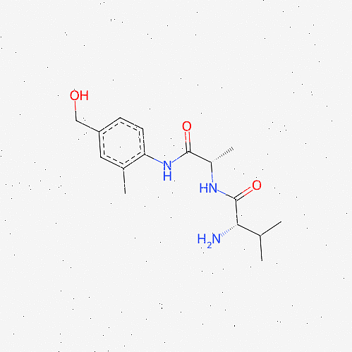 Cc1cc(CO)ccc1NC(=O)[C@H](C)NC(=O)[C@@H](N)C(C)C